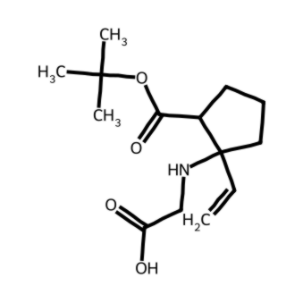 C=CC1(NCC(=O)O)CCCC1C(=O)OC(C)(C)C